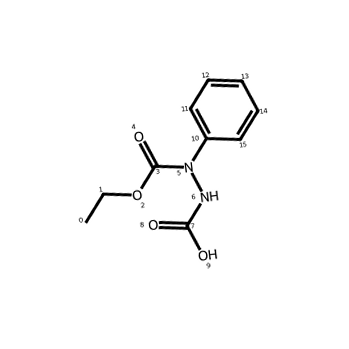 CCOC(=O)N(NC(=O)O)c1ccccc1